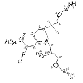 CC(C)(COB=N)c1cc2cc(N)c(F)cc2n1CC(O)COB=N